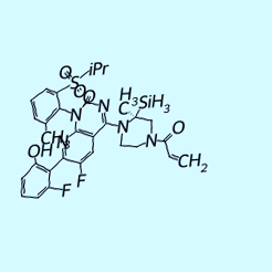 C=CC(=O)N1CCN(c2nc(=O)n(-c3c(C)cccc3S(=O)(=O)C(C)C)c3nc(-c4c(O)cccc4F)c(F)cc23)[C@@](C)([SiH3])C1